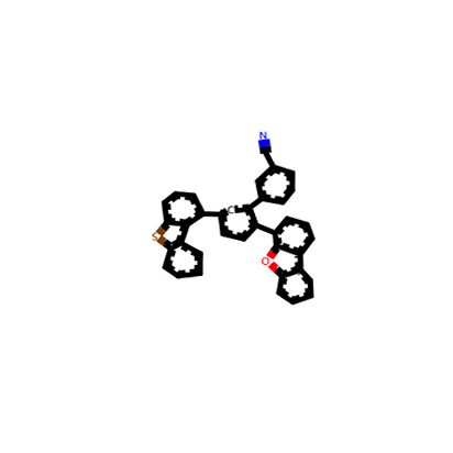 N#Cc1cccc(-c2cc(-c3cccc4sc5ccccc5c34)ccc2-c2cccc3c2oc2ccccc23)c1